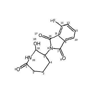 O=C1CCCC(N2C(=O)c3cccc(F)c3C2=O)C(O)N1